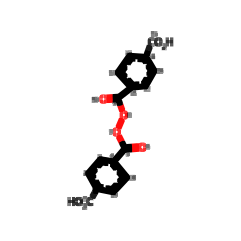 O=C(O)c1ccc(C(=O)OOC(=O)c2ccc(C(=O)O)cc2)cc1